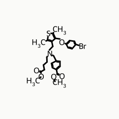 COC(=O)CCCCN(CCc1c(C)sc(C)c1COc1ccc(Br)cc1)Cc1ccc(C(=O)OC)cc1